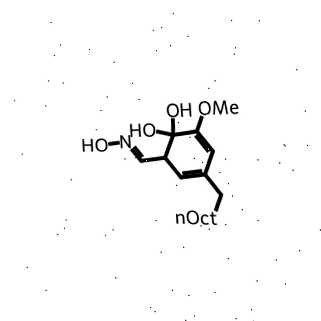 CCCCCCCCCC1=CC(C=NO)C(O)(O)C(OC)=C1